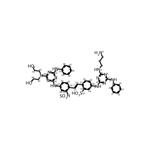 NCCCNc1nc(Nc2ccccc2)nc(Nc2ccc(/C=C/c3ccc(Nc4nc(Nc5ccccc5)nc(N(CCO)CCO)n4)cc3S(=O)(=O)O)c(S(=O)(=O)O)c2)n1